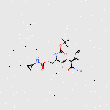 C=C/C(Cl)=C(\C=C(/C)[C@@H](COC(=O)NC1CC1)NC(=O)OC(C)(C)C)C(N)=O